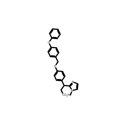 Cn1ccnc1C(CC(=O)O)c1ccc(OCc2ccc(Oc3ccccc3)cc2)cc1